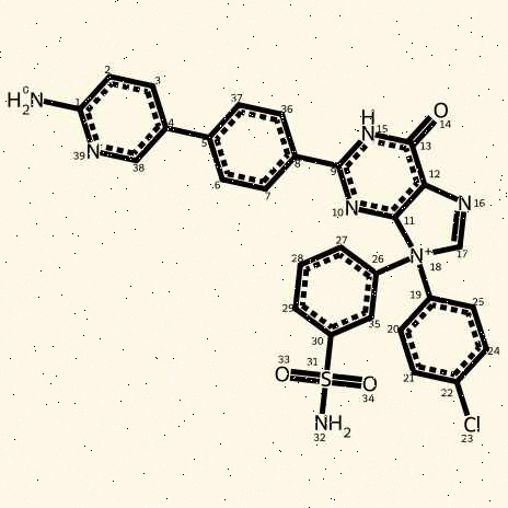 Nc1ccc(-c2ccc(-c3nc4c(c(=O)[nH]3)N=C[N+]4(c3ccc(Cl)cc3)c3cccc(S(N)(=O)=O)c3)cc2)cn1